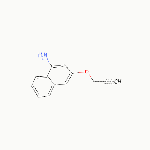 C#CCOc1cc(N)c2ccccc2c1